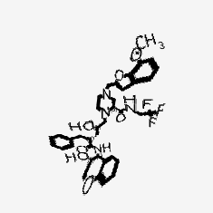 COc1cccc2cc(CN3CCN(C[C@@H](O)C[C@@H](Cc4ccccc4)C(=O)N[C@H]4c5ccccc5OC[C@H]4O)[C@H](C(=O)NCC(F)(F)F)C3)oc12